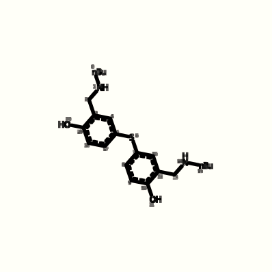 CCCCNCc1cc(Sc2ccc(O)c(CNCCCC)c2)ccc1O